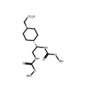 CCOC(=O)C[C@H]1CC[C@H](C(CNC(=O)OC(C)(C)C)NC(=O)OC(C)(C)C)CC1